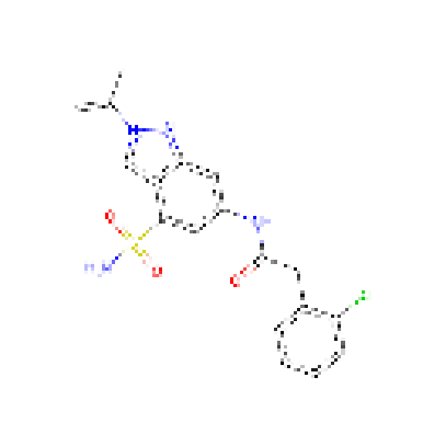 C=C(C)n1cc2c(S(N)(=O)=O)cc(NC(=O)Cc3ccccc3Cl)cc2n1